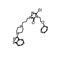 CCc1nn(CCCN2CCN(c3nsc4ccccc34)CC2)c(=O)n1CCOc1ccccc1